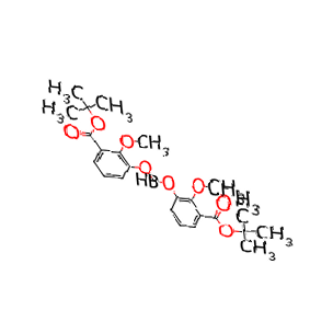 COc1c(OBOc2cccc(C(=O)OC(C)(C)C)c2OC)cccc1C(=O)OC(C)(C)C